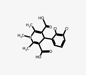 CC1=C(C(=O)O)C(c2cccc(Cl)c2Cl)C(C(=O)O)=C(C)N1C